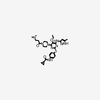 CCOc1c(Nc2cc(C)[nH]n2)nc(Sc2ccc(NC(=O)C3CC3)cc2)nc1N1CCN(C(=O)CCN(C)C)CC1